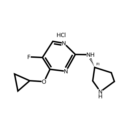 Cl.Fc1cnc(N[C@@H]2CCNC2)nc1OC1CC1